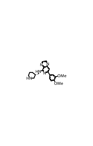 COc1ccc(-c2cc3nccnc3c(NC[C@H]3CCCNC3)n2)cc1OC